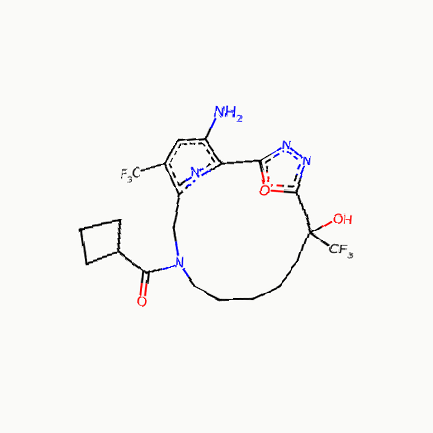 Nc1cc(C(F)(F)F)c2nc1-c1nnc(o1)C(O)(C(F)(F)F)CCCCCN(C(=O)C1CCC1)C2